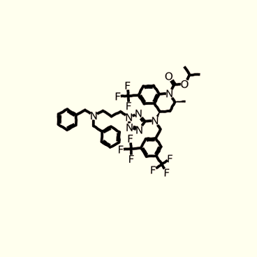 CC(C)OC(=O)N1c2ccc(C(F)(F)F)cc2[C@H](N(Cc2cc(C(F)(F)F)cc(C(F)(F)F)c2)c2nnn(CCCN(Cc3ccccc3)Cc3ccccc3)n2)C[C@@H]1C